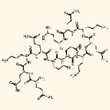 CC(=O)[C@H](CCC(N)N)NC(=O)[C@H](CCC(N)=O)NC(=O)[C@H](CCCN)NC(=O)[C@H](CCC(N)=O)NC(=O)[C@H](CCCN)NC(=O)[C@H](CCC(N)=O)NC(=O)[C@H](CCCN)NC(=O)[C@H](CCC(N)=O)NC(=O)[C@H](CCCN)NC(=O)[C@H](CCC(N)=O)NC(=O)[C@@H](N)CCC(N)=O